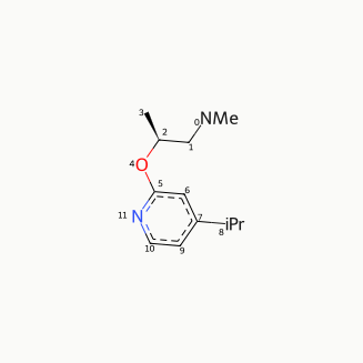 CNC[C@H](C)Oc1cc(C(C)C)ccn1